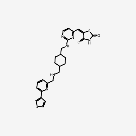 O=C1NC(=O)/C(=C\c2ccnc(NCC3CCC(CNCc4cccc(-c5ccsc5)n4)CC3)n2)S1